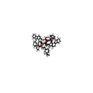 FC(F)(F)c1ccc(-n2c3ccccc3c3c2ccc2c4ccccc4n(-c4ccccc4)c23)c(-c2nc(-c3ccccc3)nc(-c3cc(C(F)(F)F)ccc3-n3c4ccccc4c4c3ccc3c5ccccc5n(-c5ccccc5)c34)n2)c1